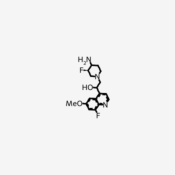 COc1cc(F)c2nccc(C(O)CN3CCC(N)[C@H](F)C3)c2c1